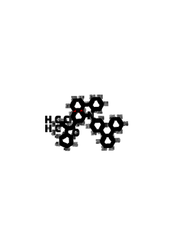 CC(C)(C)c1c(-c2cccc(N(c3ccc(-c4ccccc4-c4ccccc4)cc3)c3ccccc3-c3ccccc3)c2)oc2ccccc12